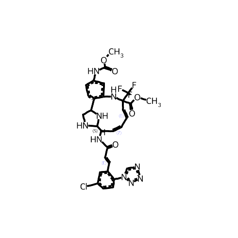 COC(=O)Nc1ccc2c(c1)NC(C(=O)OC)(C(F)(F)F)/C=C/C=C\C(NC(=O)/C=C/c1cc(Cl)ccc1-n1cnnn1)[C@H]1NCC2N1